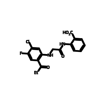 CCC(=O)c1cc(F)c(Cl)cc1NCC(=O)Nc1ccccc1C(=O)O